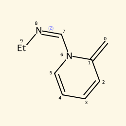 C=C1C=CC=CN1/C=N\CC